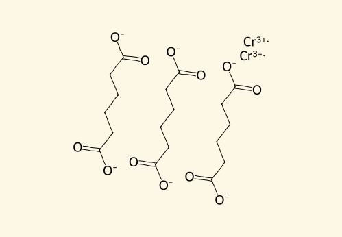 O=C([O-])CCCCC(=O)[O-].O=C([O-])CCCCC(=O)[O-].O=C([O-])CCCCC(=O)[O-].[Cr+3].[Cr+3]